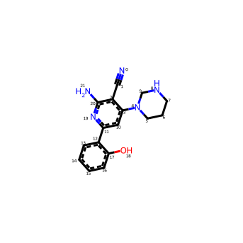 N#Cc1c(N2CCCNC2)cc(-c2ccccc2O)nc1N